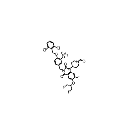 COc1cc(Cn2c(=O)c3cc(OC(CF)CF)c(F)cc3n(C3CCN(C=O)CC3)c2=O)ccc1OCc1c(Cl)cccc1Cl